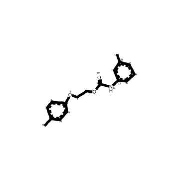 Cc1ccc(OCCOC(=O)Nc2cccc(C)c2)cc1